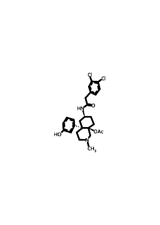 CC(=O)O[C@]12CC[C@H](NC(=O)Cc3ccc(Cl)c(Cl)c3)C[C@]1(c1cccc(O)c1)CCN(C)C2